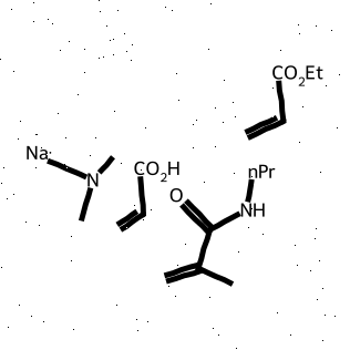 C=C(C)C(=O)NCCC.C=CC(=O)O.C=CC(=O)OCC.CN(C)C.[Na]